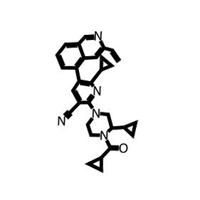 C=Cc1cc2c(-c3cc(C#N)c(N4CCN(C(=O)C5CC5)C(C5CC5)C4)nc3C3CC3)cccc2cn1